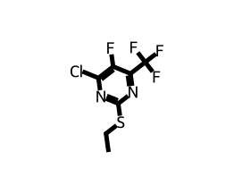 CCSc1nc(Cl)c(F)c(C(F)(F)F)n1